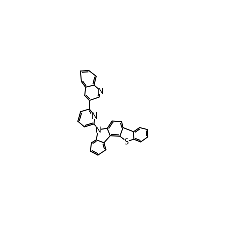 c1cc(-c2cnc3ccccc3c2)nc(-n2c3ccccc3c3c4sc5ccccc5c4ccc32)c1